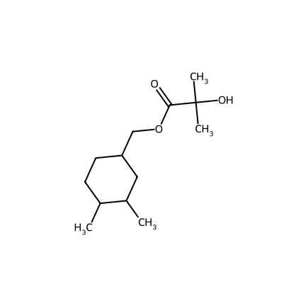 CC1CCC(COC(=O)C(C)(C)O)CC1C